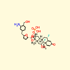 C[C@]12C=CC(=O)C=C1[C@@H](F)C[C@H]1[C@@H]3C[C@H]4O[C@@H](c5ccc(Cc6ccc(CO)c(N)c6)o5)O[C@@]4(C(=O)COP(=O)(O)O)[C@@]3(C)C[C@H](O)[C@@]12F